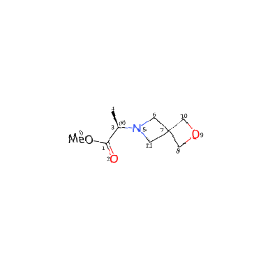 COC(=O)[C@@H](C)N1CC2(COC2)C1